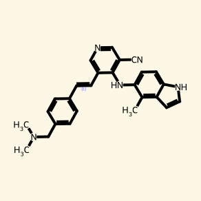 Cc1c(Nc2c(C#N)cncc2/C=C/c2ccc(CN(C)C)cc2)ccc2[nH]ccc12